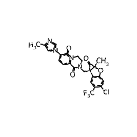 Cc1cn(-c2ccc3n(c2=O)CCN(C[C@@]24C(=O)[C@]2(C)Oc2cc(Cl)c(C(F)(F)F)cc24)C3=O)cn1